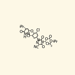 CC(C)OC(=O)OC(C)n1c(=O)c(C#N)nn(-c2cc(Cl)c(Oc3cc(C(C)C)c(=O)[nH]n3)c(Cl)c2)c1=O